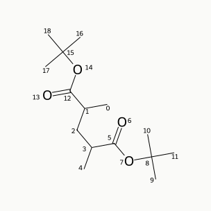 CC(CC(C)C(=O)OC(C)(C)C)C(=O)OC(C)(C)C